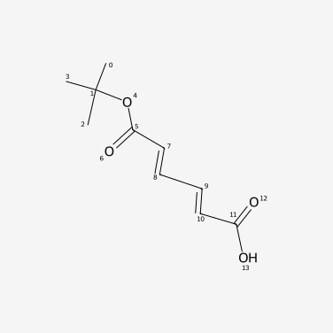 CC(C)(C)OC(=O)C=CC=CC(=O)O